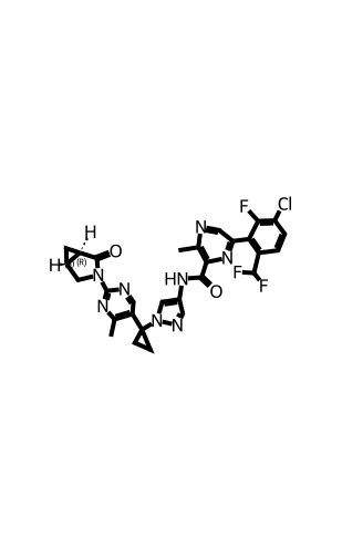 Cc1nc(N2C[C@H]3C[C@H]3C2=O)ncc1C1(n2cc(NC(=O)c3nc(-c4c(C(F)F)ccc(Cl)c4F)cnc3C)cn2)CC1